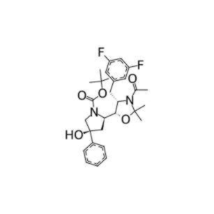 CC(=O)N1[C@@H](Cc2cc(F)cc(F)c2)[C@@H]([C@H]2C[C@](O)(c3ccccc3)CN2C(=O)OC(C)(C)C)OC1(C)C